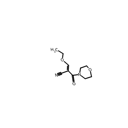 CCOC=C(C#N)C(=O)N1CCOCC1